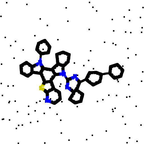 c1ccc(-c2ccc(-c3nc(-n4c5ccccc5c5c6c(c7ccccc7n6-c6ccccc6)c6sc7ncccc7c6c54)nc4ccccc34)cc2)cc1